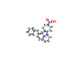 O=C(O)N1CCc2c(n3c4c(ccc(Cc5ccccc5)c24)CCC3)CC1